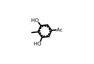 CC(=O)c1cc(O)c(C)c(O)c1